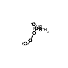 COC(=O)c1cc(-c2ccc(C#Cc3ccc(CN4CCOCC4)cc3)cc2)nc(-c2cccnc2)n1